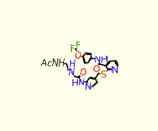 CC(=O)NCCNCC(=O)Nc1cc(CSc2ncccc2C(=O)Nc2ccc(OC(F)F)cc2)ccn1